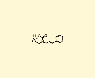 CC(=O)N(C/C=C/c1ccccc1)CC1CC1